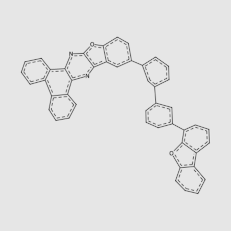 c1cc(-c2cccc(-c3cccc4c3oc3ccccc34)c2)cc(-c2ccc3oc4nc5c6ccccc6c6ccccc6c5nc4c3c2)c1